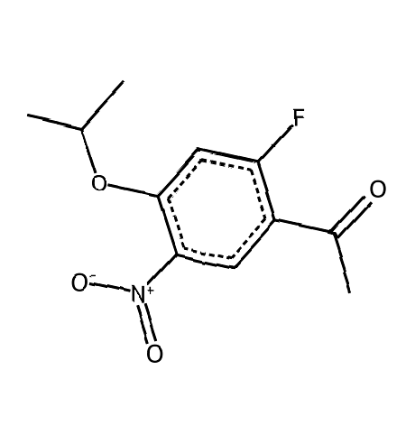 CC(=O)c1cc([N+](=O)[O-])c(OC(C)C)cc1F